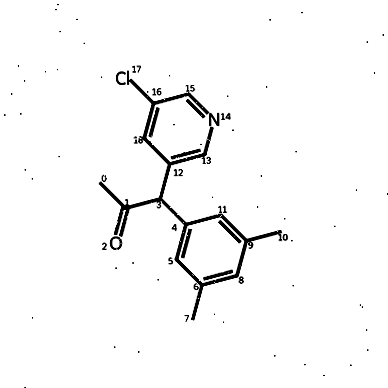 CC(=O)C(c1cc(C)cc(C)c1)c1cncc(Cl)c1